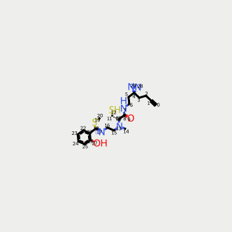 C#CCCC1(CCNC(=O)[C@@H](CS)N(C)CC/N=C(\SC)c2ccccc2O)N=N1